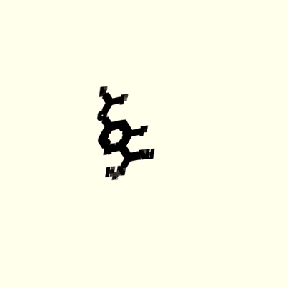 N=C(N)c1ncc(OC(F)F)cc1F